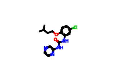 CC(C)CCOc1ccc(Cl)cc1NC(=O)Nc1cnccn1